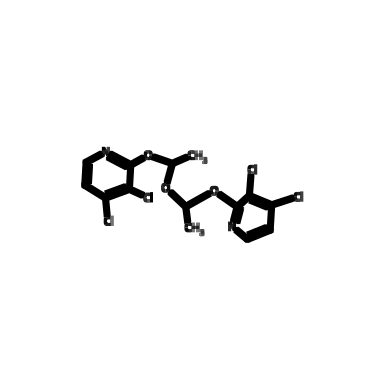 CC(Oc1nccc(Cl)c1Cl)OC(C)Oc1nccc(Cl)c1Cl